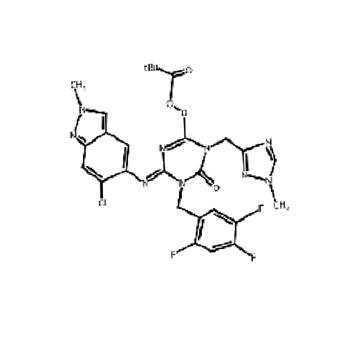 Cn1cnc(Cn2c(OOC(=O)C(C)(C)C)nc(=Nc3cc4cn(C)nc4cc3Cl)n(Cc3cc(F)c(F)cc3F)c2=O)n1